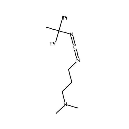 CC(C)C(C)(N=C=NCCCN(C)C)C(C)C